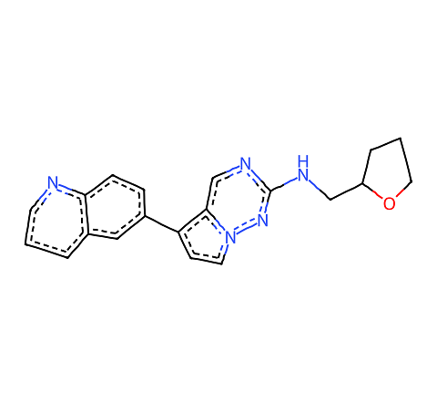 c1cnc2ccc(-c3ccn4nc(NCC5CCCO5)ncc34)cc2c1